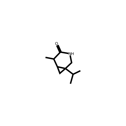 CC1C(=O)NCC2(C(C)C)CC12